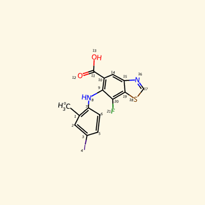 Cc1cc(I)ccc1Nc1c(C(=O)O)cc2ncsc2c1F